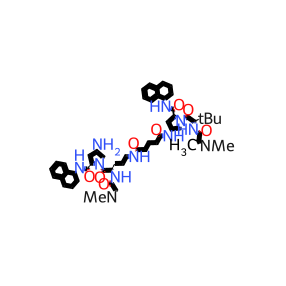 CNCC(=O)N[C@@H](CCCNC(=O)CCCC(=O)N[C@H]1C[C@@H](C(=O)NC2CCCc3ccccc32)N(C(=O)[C@@H](NC(=O)[C@H](C)NC)C(C)(C)C)C1)C(=O)N1C[C@@H](N)C[C@H]1C(=O)N[C@@H]1CCCc2ccccc21